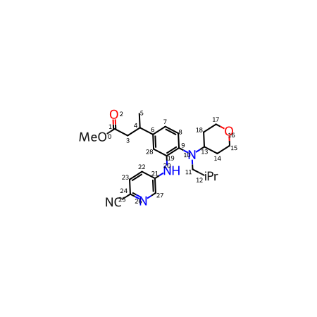 COC(=O)CC(C)c1ccc(N(CC(C)C)C2CCOCC2)c(Nc2ccc(C#N)nc2)c1